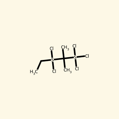 CCS(Cl)(Cl)C(C)(C)S(Cl)(Cl)Cl